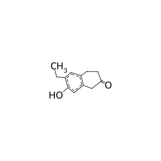 CCc1cc2c(cc1O)CC(=O)CC2